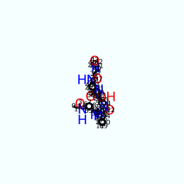 C=CC(=O)Nc1cccc(-c2cn(C(Cc3ccccc3)C(=O)N3CCC(O)(Cn4cnc5cc(NC(=O)CCN6CCOCC6)ccc5c4=O)CC3)nn2)c1